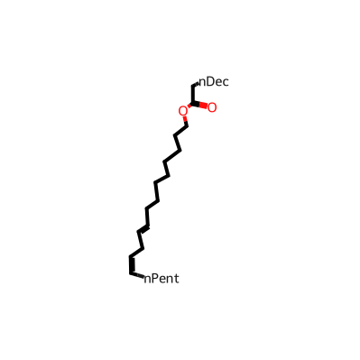 CCCCC/C=C\C/C=C/CCCCCCCCOC(=O)CCCCCCCCCCC